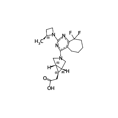 C[C@H]1CCN1c1nc(N2C[C@@H]3[C@@H](CC(=O)O)[C@@H]3C2)c2c(n1)C(F)(F)CCCC2